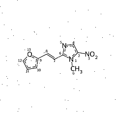 Cn1c([N+](=O)[O-])cnc1/C=C/c1ccco1